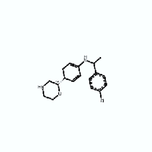 CC(NC1=CCC([C@H]2CNCCO2)C=C1)c1ccc(Cl)cc1